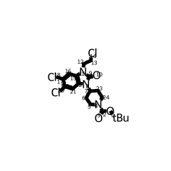 CC(C)(C)OC(=O)N1CCC(n2c(=O)n(CCCl)c3cc(Cl)c(Cl)cc32)CC1